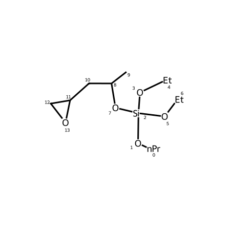 CCCO[Si](OCC)(OCC)OC(C)CC1CO1